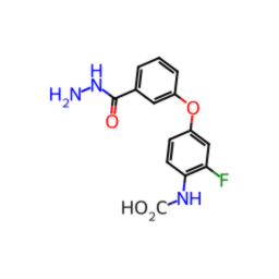 NNC(=O)c1cccc(Oc2ccc(NC(=O)O)c(F)c2)c1